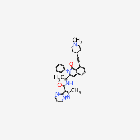 Cc1nn2cccnc2c1C(=O)N[C@H](C)c1cc2cccc(C#CC3CCN(C)CC3)c2c(=O)n1-c1ccccc1